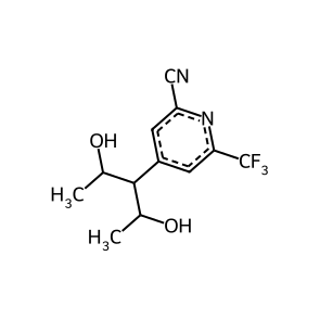 CC(O)C(c1cc(C#N)nc(C(F)(F)F)c1)C(C)O